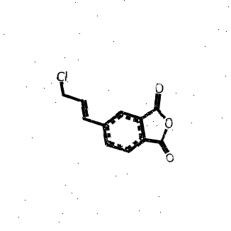 O=C1OC(=O)c2cc(C=CCCl)ccc21